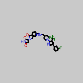 O=C1CC(N2Cc3cc(CNCC4CCN(c5ncc(-c6cccc(F)c6)cc5C(F)(F)F)CC4)ccc3C2=O)C(=O)N1